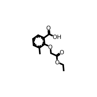 CCOC(=O)COc1c(C)cccc1C(=O)O